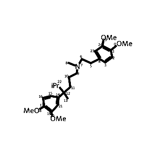 COc1ccc(CCN(C)CCCC(C)(c2ccc(OC)c(OC)c2)C(C)C)cc1OC